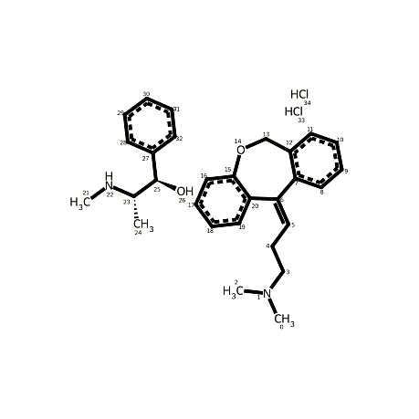 CN(C)CCC=C1c2ccccc2COc2ccccc21.CN[C@@H](C)[C@H](O)c1ccccc1.Cl.Cl